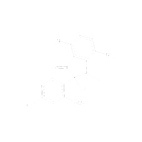 COc1cc(C(C)C)ccc1C1(O)C(=O)c2c(N)ccc(N)c2C1=O